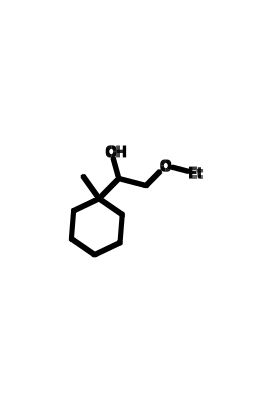 CCOCC(O)C1(C)CCCCC1